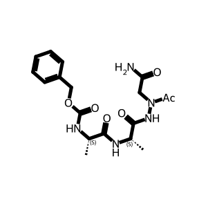 CC(=O)N(CC(N)=O)NC(=O)[C@H](C)NC(=O)[C@H](C)NC(=O)OCc1ccccc1